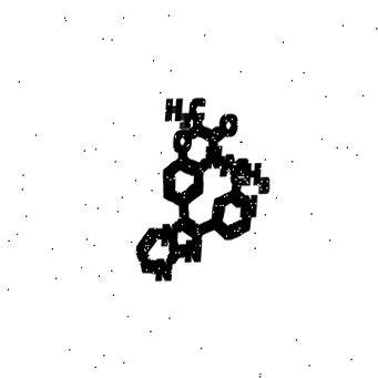 CC(=O)N1C(=O)C(C)Oc2ccc(-c3c(-c4ccnc(C)c4)nc4ncccn34)cc21